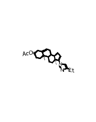 CCc1cn(C2=CCC3C4CC=C5C[C@@H](OC(C)=O)CC[C@]5(C)C4CC[C@]23C)cn1